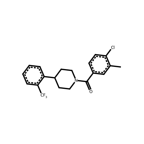 Cc1cc(C(=O)N2CCC(c3ccccc3C(F)(F)F)CC2)ccc1Cl